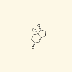 CCC12CCC(=O)C=C1CCC2=O